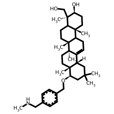 CNCc1ccc(CO[C@@H]2CC(C)(C)C[C@H]3C4=CCC5[C@@]6(C)CC[C@H](O)[C@](C)(CO)C6CC[C@@]5(C)[C@]4(C)CC[C@@]23C)cc1